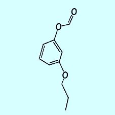 CCCOc1cccc(OC=O)c1